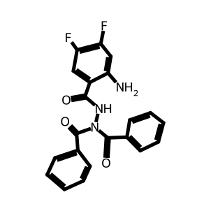 Nc1cc(F)c(F)cc1C(=O)NN(C(=O)c1ccccc1)C(=O)c1ccccc1